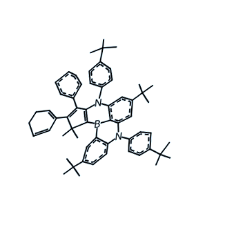 CC1(C)C2=C(C(c3ccccc3)=C1C1=CCCC=C1)N(c1ccc(C(C)(C)C)cc1)c1cc(C(C)(C)C)cc3c1B2c1cc(C(C)(C)C)ccc1N3c1ccc(C(C)(C)C)cc1